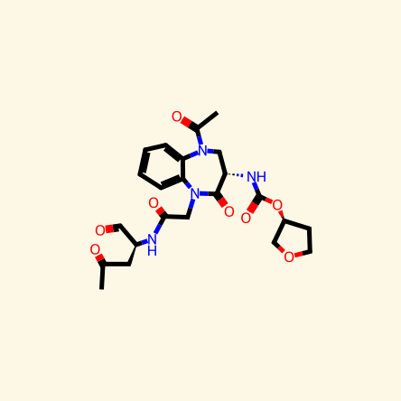 CC(=O)C[C@@H](C=O)NC(=O)CN1C(=O)[C@@H](NC(=O)O[C@H]2CCOC2)CN(C(C)=O)c2ccccc21